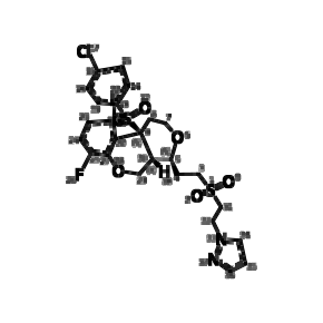 O=S(=O)(CC[C@@H]1OCC[C@@]2(S(=O)(=O)c3ccc(Cl)cc3)c3c(F)ccc(F)c3OC[C@@H]12)CCn1cccn1